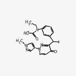 CCN(C(=O)O)c1cccc(C(F)c2nn(-c3cnn(C)c3)ccc2=O)c1